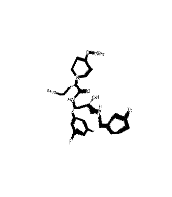 CCCOC1CCN([C@@H](CCSC)C(=O)N[C@@H](Cc2cc(F)cc(F)c2)[C@H](O)CNCc2cccc(CC)c2)CC1